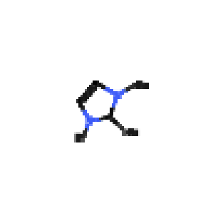 CCCCC1N(CCCC)C=CN1C(C)C